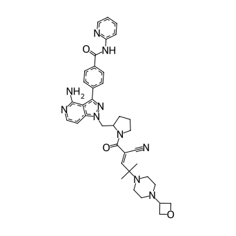 CC(C)(C=C(C#N)C(=O)N1CCCC1Cn1nc(-c2ccc(C(=O)Nc3ccccn3)cc2)c2c(N)nccc21)N1CCN(C2COC2)CC1